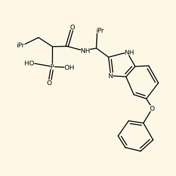 CC(C)CC(C(=O)NC(c1nc2cc(Oc3ccccc3)ccc2[nH]1)C(C)C)P(=O)(O)O